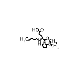 CCCCCNC(CCC(=O)O)C(=O)N1CCCC1B(C)C